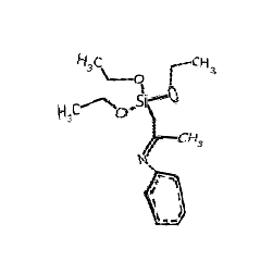 CCO[Si](OCC)(OCC)/C(C)=N/c1ccccc1